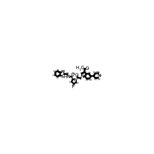 CC(=O)c1cn(CC(=O)N2C[C@H](F)C[C@H]2C(=O)NCc2nc3ccccc3s2)c2ccc(-c3ccnnc3)cc12